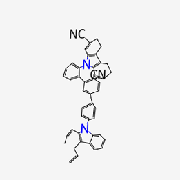 C=CCc1c(/C=C\C)n(-c2ccc(-c3ccc(C#N)c(-c4ccccc4-n4c5c(c6c4C=C(C#N)CC6)CCC=C5)c3)cc2)c2ccccc12